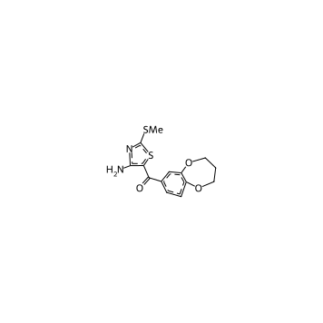 CSc1nc(N)c(C(=O)c2ccc3c(c2)OCCCO3)s1